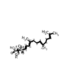 CC(C)=CCCC(C)=CCCC(C)=CC=CP(=O)(O)C(F)(F)P(=O)(O)O